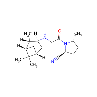 C[C@@H]1[C@@H](NCC(=O)N2[C@H](C)CC[C@H]2C#N)C[C@H]2C[C@@H]1C2(C)C